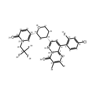 Cc1nc2c(-c3ccc(Cl)cc3F)cc([C@H]3CCO[C@@H](c4ccc(=O)n(CC(F)(F)F)c4)C3)nn2c(=O)c1C